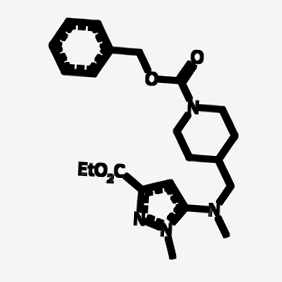 CCOC(=O)c1cc(N(C)CC2CCN(C(=O)OCc3ccccc3)CC2)n(C)n1